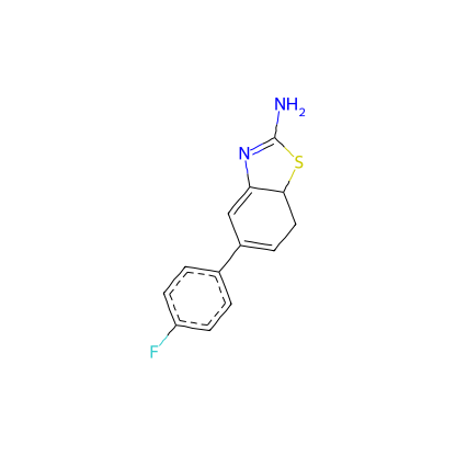 NC1=NC2=CC(c3ccc(F)cc3)=CCC2S1